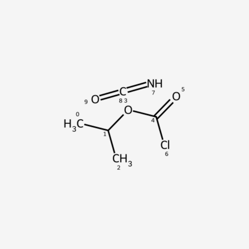 CC(C)OC(=O)Cl.N=C=O